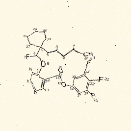 CCCCCC1(C(F)Oc2ccccc2C(=O)Oc2cc(F)c(F)c(F)c2)CCCCC1